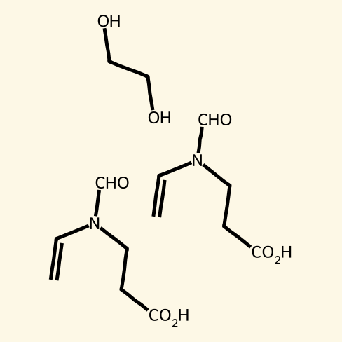 C=CN(C=O)CCC(=O)O.C=CN(C=O)CCC(=O)O.OCCO